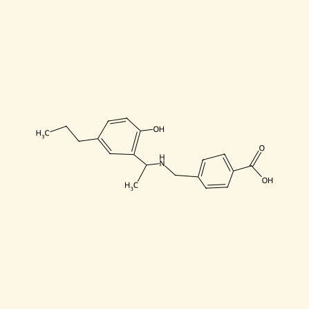 CCCc1ccc(O)c(C(C)NCc2ccc(C(=O)O)cc2)c1